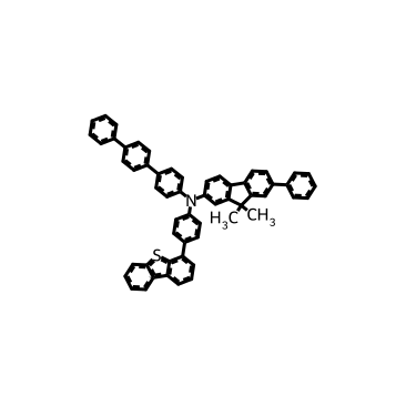 CC1(C)c2cc(-c3ccccc3)ccc2-c2ccc(N(c3ccc(-c4ccc(-c5ccccc5)cc4)cc3)c3ccc(-c4cccc5c4sc4ccccc45)cc3)cc21